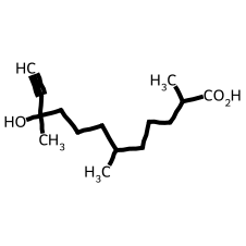 C#CC(C)(O)CCCC(C)CCCC(C)C(=O)O